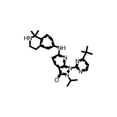 CC(C)n1c(=O)c2ccc(Nc3ccc4c(c3)CCNC4(C)C)nc2n1-c1nccc(C(C)(C)C)n1